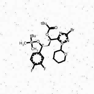 CC(C)(C)C(=O)O[C@H](C[C@@H](O[Si](C)(C)C(C)(C)C)c1ccc(F)c(F)c1)c1nc(Br)nn1C1CCCCO1